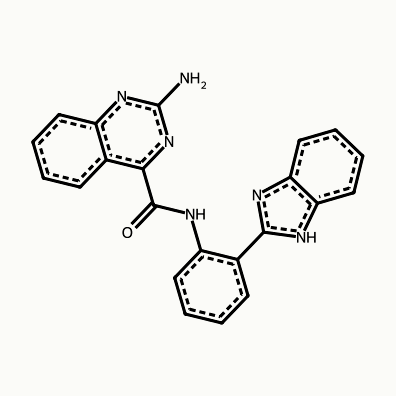 Nc1nc(C(=O)Nc2ccccc2-c2nc3ccccc3[nH]2)c2ccccc2n1